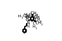 CCP(=O)(CC)OC(NCCCc1ccccc1)c1cc(C(C)(C)C)c(O)c(C(C)(C)C)c1